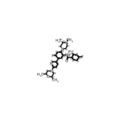 CC1CN(c2ccc(-c3cc(NC(=O)c4ccc(F)cc4C(F)(F)F)c(N4CCN(C)C(C)C4)cc3F)cn2)CC(C)O1